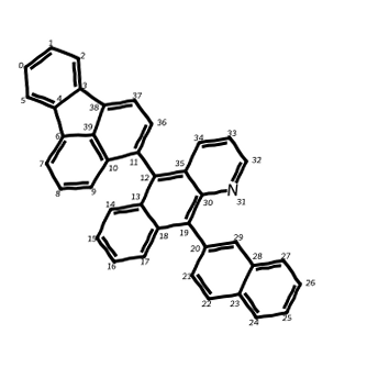 c1ccc2c(c1)-c1cccc3c(-c4c5ccccc5c(-c5ccc6ccccc6c5)c5ncccc45)ccc-2c13